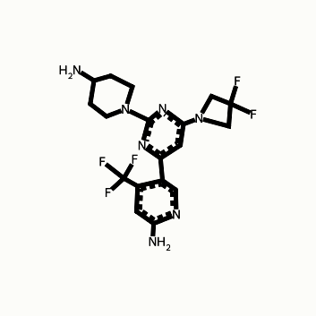 Nc1cc(C(F)(F)F)c(-c2cc(N3CC(F)(F)C3)nc(N3CCC(N)CC3)n2)cn1